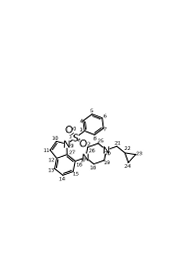 O=S(=O)(c1ccccc1)n1ccc2cccc(N3CCN(CC4CC4)CC3)c21